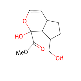 COC(=O)C1(O)OC=CC2CCC(CO)C21